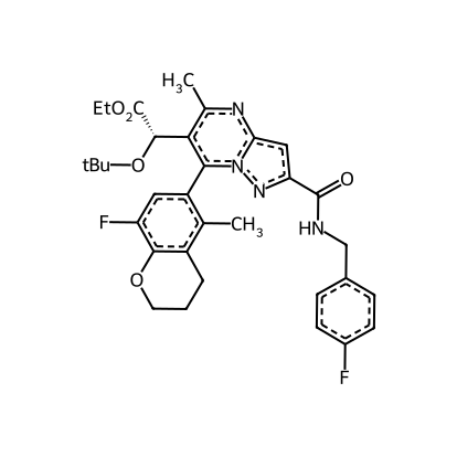 CCOC(=O)[C@@H](OC(C)(C)C)c1c(C)nc2cc(C(=O)NCc3ccc(F)cc3)nn2c1-c1cc(F)c2c(c1C)CCCO2